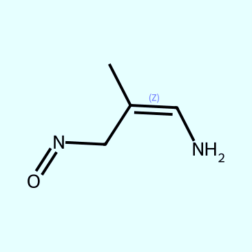 C/C(=C/N)CN=O